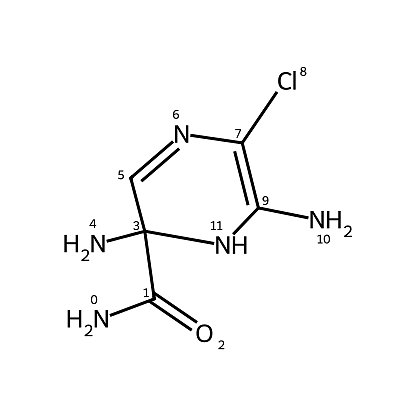 NC(=O)C1(N)C=NC(Cl)=C(N)N1